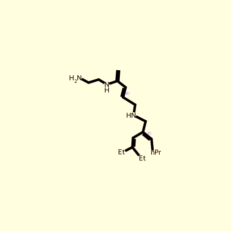 C=C(/C=C/CNC/C(C=C(CC)CC)=C/CCC)NCCN